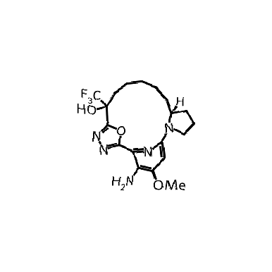 COc1cc2nc(c1N)-c1nnc(o1)C(O)(C(F)(F)F)CCCCC[C@@H]1CCCN21